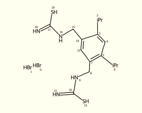 Br.Br.CC(C)c1cc(C(C)C)c(CNC(=N)S)cc1CNC(=N)S